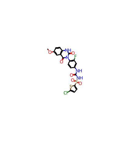 COc1ccc2[nH]c(=O)n(-c3ccc(NC(=O)NS(=O)(=O)c4ccc(Cl)s4)cc3F)c(=O)c2c1